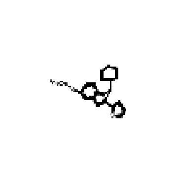 COOSc1ccc2c(c1)cc(-c1ccco1)n2CC1CCCCC1